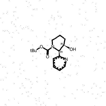 CC(C)(C)OC(=O)N1CCC[C@@H](O)[C@H]1c1ccccn1